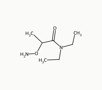 CCN(CC)C(=O)C(C)ON